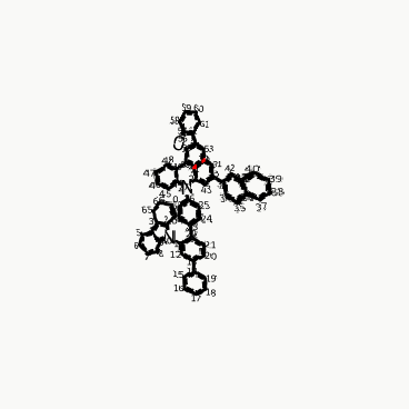 C1=Cc2c(c3ccccc3n2-c2cc(-c3ccccc3)ccc2-c2ccc(N(c3cccc(-c4ccc5ccccc5c4)c3)c3ccccc3-c3cccc4c3oc3ccccc34)cc2)CC1